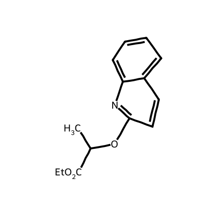 CCOC(=O)C(C)Oc1ccc2ccccc2n1